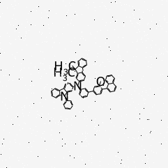 CC1(C)c2ccccc2-c2ccc(N(c3cccc(-c4ccc5c(c4)Oc4cccc6cccc-5c46)c3)c3ccc4c5ccccc5n(-c5ccccc5)c4c3)cc21